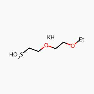 [CH2]COCCOCCS(=O)(=O)O.[KH]